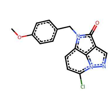 COc1ccc(Cn2c(=O)c3cnn4c(Cl)ccc2c34)cc1